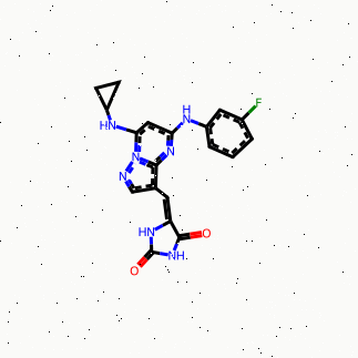 O=C1NC(=O)C(=Cc2cnn3c(NC4CC4)cc(Nc4cccc(F)c4)nc23)N1